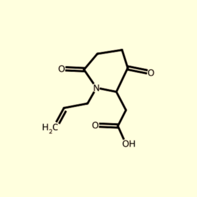 C=CCN1C(=O)CCC(=O)C1CC(=O)O